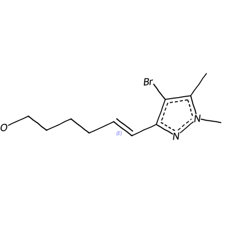 Cc1c(Br)c(/C=C/CCCCO)nn1C